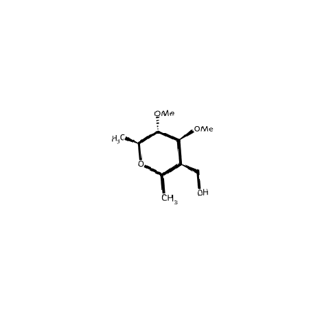 CO[C@@H]1[C@@H](OC)[C@@H](CO)C(C)O[C@H]1C